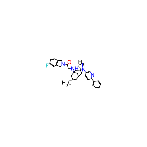 CC1CC2CC(C)(Nc3ccc(-c4ccccc4)nc3)CC(NCC(=O)N3Cc4ccc(F)cc4C3)(C1)C2